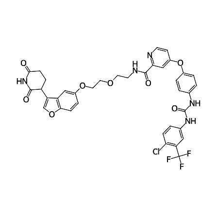 O=C1CCC(c2coc3ccc(OCCOCCNC(=O)c4cc(Oc5ccc(NC(=O)Nc6ccc(Cl)c(C(F)(F)F)c6)cc5)ccn4)cc23)C(=O)N1